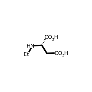 CCN[C@@H](CC(=O)O)C(=O)O